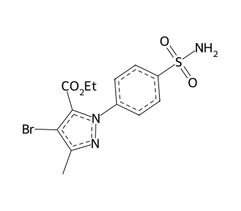 CCOC(=O)c1c(Br)c(C)nn1-c1ccc(S(N)(=O)=O)cc1